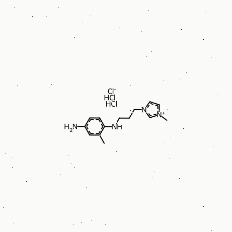 Cc1cc(N)ccc1NCCCn1cc[n+](C)c1.Cl.Cl.[Cl-]